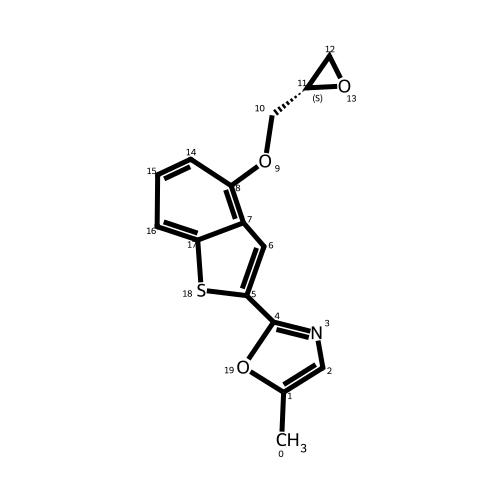 Cc1cnc(-c2cc3c(OC[C@@H]4CO4)cccc3s2)o1